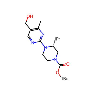 Cc1nc(N2CCN(C(=O)OC(C)(C)C)C[C@H]2C(C)C)ncc1CO